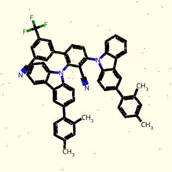 Cc1ccc(-c2ccc3c(c2)c2ccccc2n3-c2ccc(-c3cc(C#N)cc(C(F)(F)F)c3)c(-n3c4ccccc4c4cc(-c5ccc(C)cc5C)ccc43)c2C#N)c(C)c1